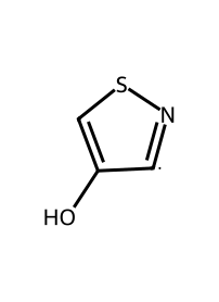 Oc1[c]nsc1